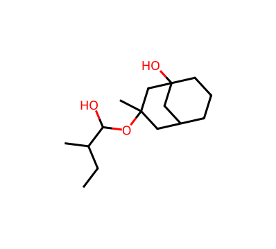 CCC(C)C(O)OC1(C)CC2CCCC(O)(C2)C1